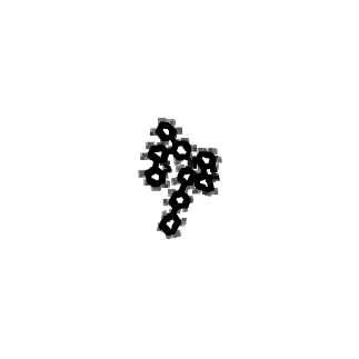 c1ccc(-c2ccc(-c3ccc(N(c4ccc(-c5ccccc5)c(-c5cccc6c5sc5ccccc56)c4)c4cccc5sc6ccccc6c45)cc3)cc2)cc1